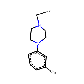 CC(C)CN1CCN(c2c[c]cc(C(F)(F)F)c2)CC1